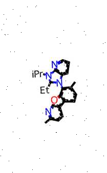 CCC1N(c2c(C)ccc3c2oc2nc(C)ccc23)c2cccnc2N1C(C)C